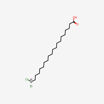 O=C(O)CCCCCCCCCCCCCCCCCC[SiH](Cl)Cl